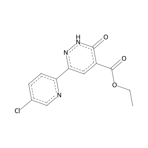 CCOC(=O)c1cc(-c2ccc(Cl)cn2)n[nH]c1=O